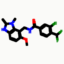 COc1ccc2c(c1CNC(=O)c1ccc(C(F)F)c(Cl)c1)N(C)C(C)N2